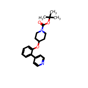 CC(C)(C)OC(=O)N1CCC(Oc2ccccc2-c2ccncc2)CC1